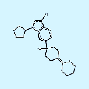 CCc1nn(C2CCCC2)c2cc(C3(C#N)CCC(=C4SCCCS4)CC3)ccc12